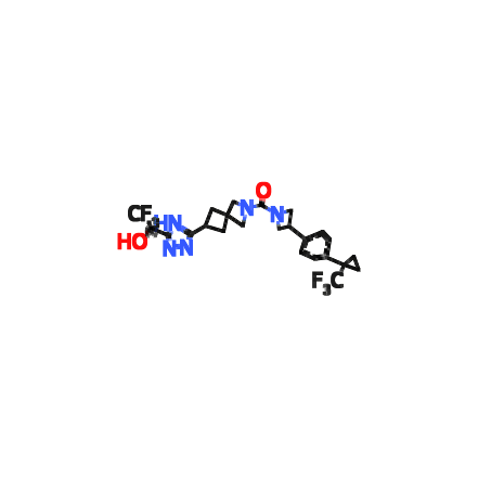 O=C(N1CC(c2ccc(C3(C(F)(F)F)CC3)cc2)C1)N1CC2(CC(c3nnc([C@@H](O)C(F)(F)F)[nH]3)C2)C1